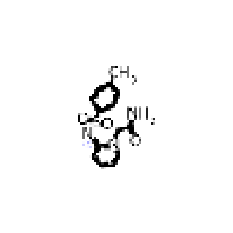 Cc1ccc(S(=O)(=O)/N=c2/ccccn2CC(N)=O)cc1